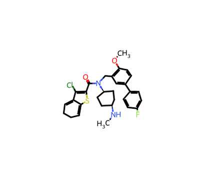 CN[C@H]1CC[C@@H](N(Cc2cc(-c3ccc(F)cc3)ccc2OC)C(=O)c2sc3c(c2Cl)=CCCC=3)CC1